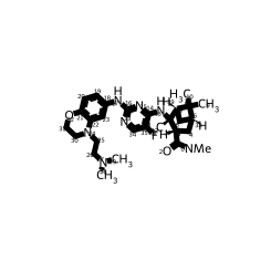 CNC(=O)[C@H]1C[C@H]2C[C@H](C2(C)C)[C@@]1(C)Nc1nc(Nc2ccc3c(c2)N(CCN(C)C)CCO3)ncc1F